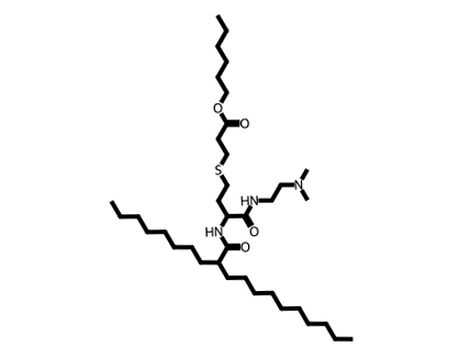 CCCCCCCCCCC(CCCCCCCC)C(=O)NC(CCSCCC(=O)OCCCCCC)C(=O)NCCN(C)C